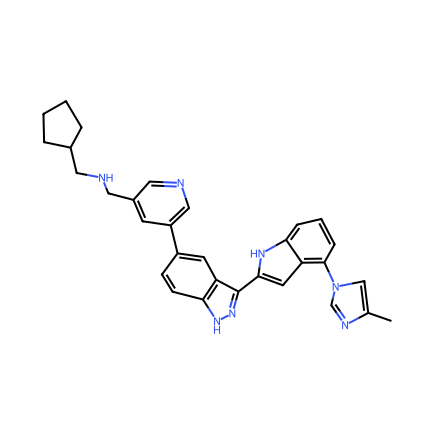 Cc1cn(-c2cccc3[nH]c(-c4n[nH]c5ccc(-c6cncc(CNCC7CCCC7)c6)cc45)cc23)cn1